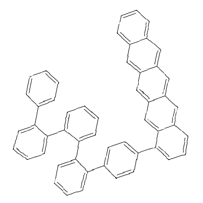 c1ccc(-c2ccccc2-c2ccccc2-c2ccccc2-c2ccc(-c3cccc4cc5cc6cc7ccccc7cc6cc5cc34)cc2)cc1